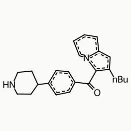 CCCCc1cc2ccccn2c1C(=O)c1ccc(C2CCNCC2)cc1